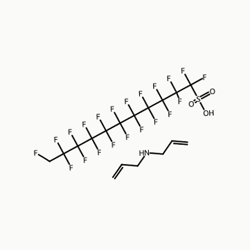 C=CCNCC=C.O=S(=O)(O)C(F)(F)C(F)(F)C(F)(F)C(F)(F)C(F)(F)C(F)(F)C(F)(F)C(F)(F)C(F)(F)C(F)(F)CF